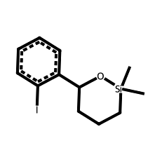 C[Si]1(C)CCCC(c2ccccc2I)O1